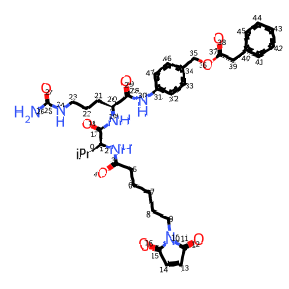 CC(C)C(NC(=O)CCCCCN1C(=O)C=CC1=O)C(=O)N[C@@H](CCCNC(N)=O)C(=O)Nc1ccc(COC(=O)Cc2ccccc2)cc1